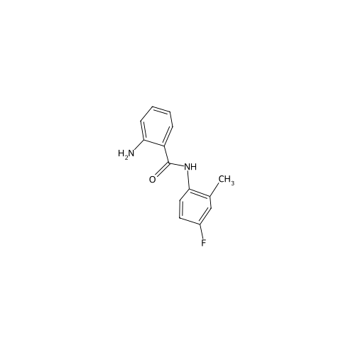 Cc1cc(F)ccc1NC(=O)c1ccccc1N